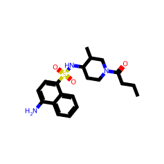 CCCC(=O)N1CCC(NS(=O)(=O)c2ccc(N)c3ccccc23)C(C)C1